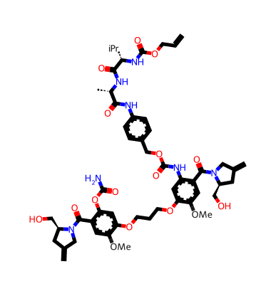 C=CCOC(=O)N[C@H](C(=O)N[C@@H](C)C(=O)Nc1ccc(COC(=O)Nc2cc(OCCCOc3cc(OC(N)=O)c(C(=O)N4CC(=C)C[C@H]4CO)cc3OC)c(OC)cc2C(=O)N2CC(=C)C[C@H]2CO)cc1)C(C)C